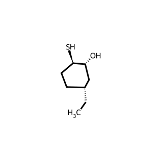 CC[C@@H]1CC[C@@H](S)[C@H](O)C1